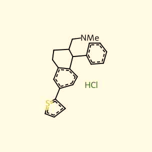 CNCC1CCc2cc(-c3cccs3)ccc2C1c1ccccc1.Cl